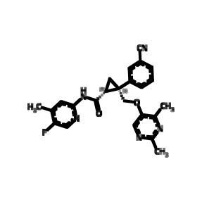 Cc1ncc(OC[C@@]2(c3cccc(C#N)c3)C[C@H]2C(=O)Nc2cc(C)c(F)cn2)c(C)n1